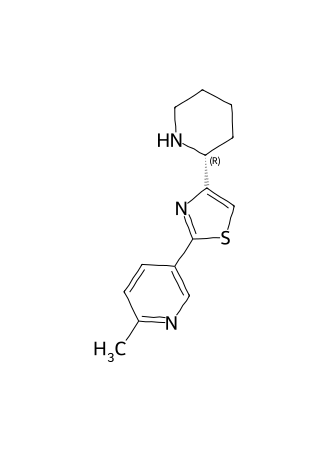 Cc1ccc(-c2nc([C@H]3CCCCN3)cs2)cn1